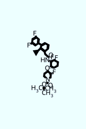 CC(C)(C)OC(=O)N1CC[C@@H](O[C@H]2CCCC(F)(F)[C@@H]2NC(=O)Cc2cccc(-c3cc(F)cc(F)c3)c2C2CC2)[C@@H](F)C1